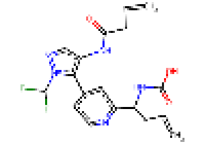 C=CCC(=O)Nc1cnn(C(F)F)c1-c1ccnc(C(CC=C)NC(=O)O)c1